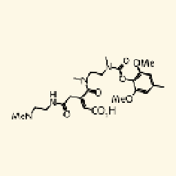 CNCCNC(=O)C/C(=C/C(=O)O)C(=O)N(C)CCN(C)C(=O)Oc1c(OC)cc(C)cc1OC